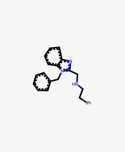 CC(C)CCNCc1nc2ccccc2n1Cc1ccccc1